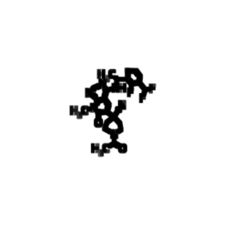 CC(=O)N1CCC(C#N)(c2cc3c(NC(C)c4cccc(C(F)F)c4F)ncnc3n(C)c2=O)CC1